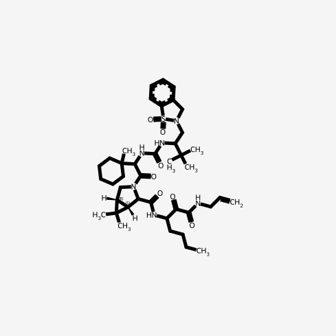 C=CCNC(=O)C(=O)C(CCCC)NC(=O)C1[C@H]2[C@@H](CN1C(=O)C(NC(=O)NC(CN1Cc3ccccc3S1(=O)=O)C(C)(C)C)C1(C)CCCCC1)C2(C)C